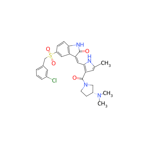 Cc1cc(C(=O)N2CC[C@@H](N(C)C)C2)c(/C=C2\C(=O)Nc3ccc(S(=O)(=O)Cc4cccc(Cl)c4)cc32)[nH]1